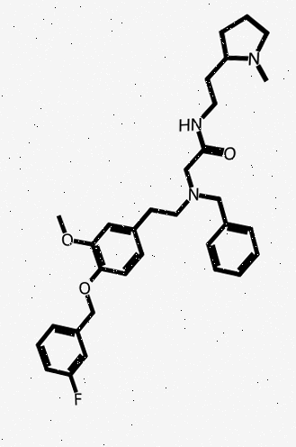 COc1cc(CCN(CC(=O)NCCC2CCCN2C)Cc2ccccc2)ccc1OCc1cccc(F)c1